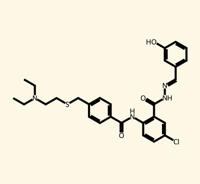 CCN(CC)CCSCc1ccc(C(=O)Nc2ccc(Cl)cc2C(=O)NN=Cc2cccc(O)c2)cc1